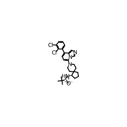 CC(C)(C)[S+]([O-])N[C@@H]1CCCC12CCN(c1ccc(-c3cccc(Cl)c3Cl)c3cncn13)CC2